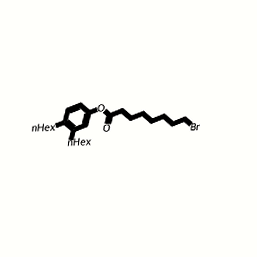 CCCCCCc1ccc(OC(=O)CCCCCCCBr)cc1CCCCCC